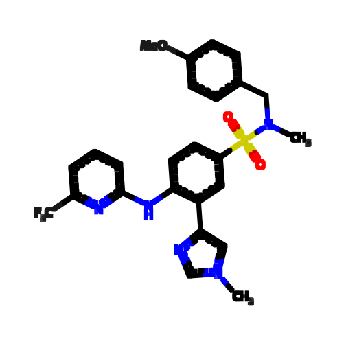 COc1ccc(CN(C)S(=O)(=O)c2ccc(Nc3cccc(C(F)(F)F)n3)c(-c3cn(C)cn3)c2)cc1